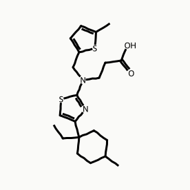 CCC1(c2csc(N(CCC(=O)O)Cc3ccc(C)s3)n2)CCC(C)CC1